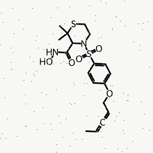 CC=C=CCOc1ccc(S(=O)(=O)N2CCSC(C)(C)C2C(=O)NO)cc1